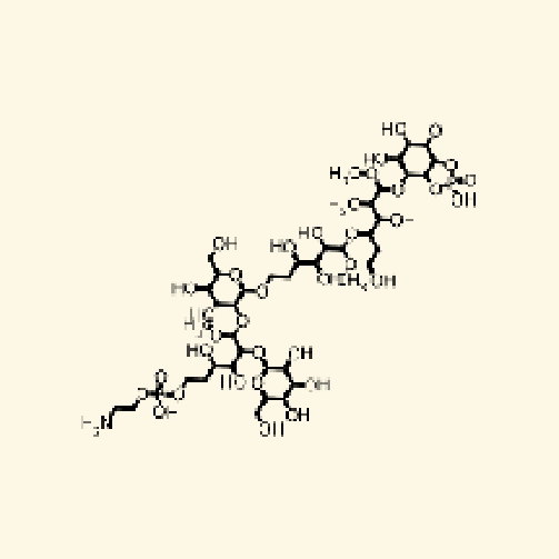 COC(OC1C(O)C(O)C(O)C2OP(=O)(O)OC12)C(C)C(O)C(CCO)OC(OC)C(O)C(O)C(O)CCOC1OC(CO)C(O)C(O)C1OC(OC)C(OC1OC(CO)C(O)C(O)C1O)C(O)C(O)CCOP(=O)(O)OCCN